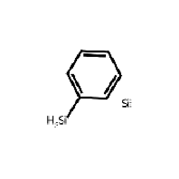 [SiH3]c1ccccc1.[Si]